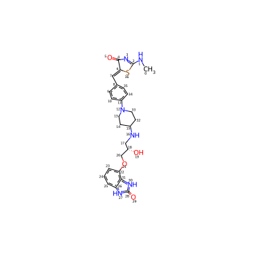 CNC1=NC(=O)C(=Cc2ccc(N3CCC(NC[C@H](O)COc4cccc5[nH]c(=O)[nH]c45)CC3)cc2)S1